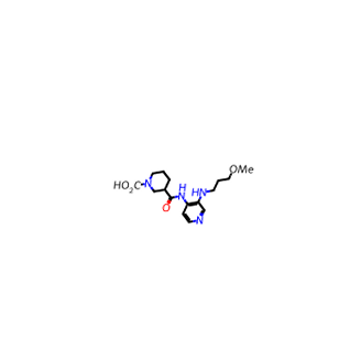 COCCCNc1cnccc1NC(=O)C1CCCN(C(=O)O)C1